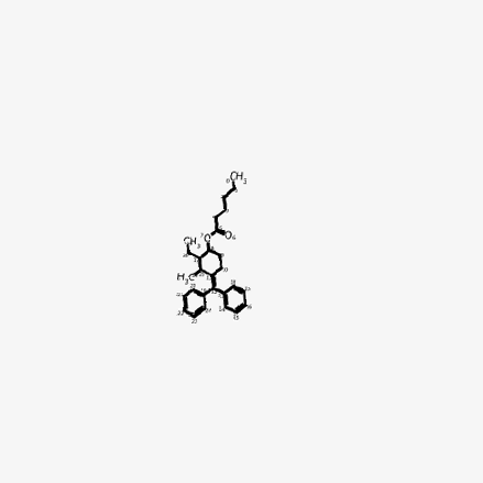 CCCCCC(=O)OC1CCC(=C(c2ccccc2)c2ccccc2)C(C)C1CC